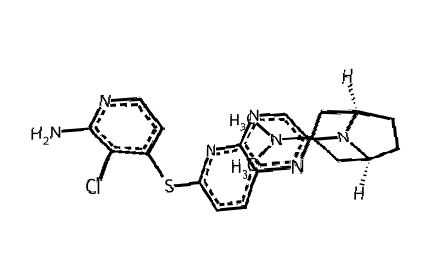 CN(C)C1C[C@H]2CC[C@@H](C1)N2c1cnc2nc(Sc3ccnc(N)c3Cl)ccc2n1